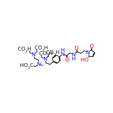 O=C(O)CN(CCN(CC(=O)O)C[C@@H](Cc1ccc(NC(=O)CNC(=O)CCN2C(=O)C=CC2O)cc1)N(CC(=O)O)CC(=O)O)CC(=O)O